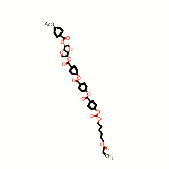 C=CC(=O)OCCCCCCOC(=O)Oc1ccc(C(=O)Oc2ccc(C(=O)Oc3ccc(C(=O)O[C@H]4COC5C4OC[C@H]5OC(=O)c4ccc(OC(C)=O)cc4)cc3)cc2)cc1